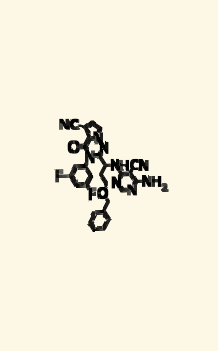 N#Cc1c(N)ncnc1NC(CCOCc1ccccc1)c1nn2ccc(C#N)c2c(=O)n1-c1cc(F)cc(F)c1